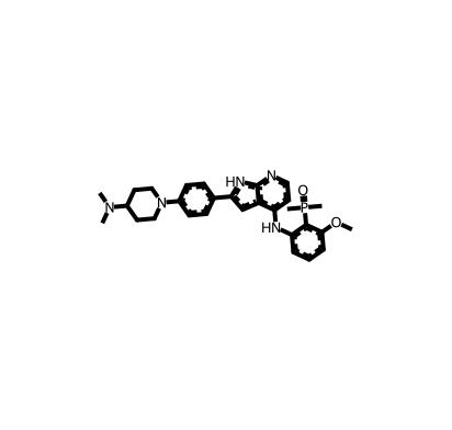 COc1cccc(Nc2ccnc3[nH]c(-c4ccc(N5CCC(N(C)C)CC5)cc4)cc23)c1P(C)(C)=O